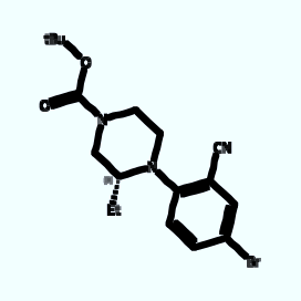 CC[C@@H]1CN(C(=O)OC(C)(C)C)CCN1c1ccc(Br)cc1C#N